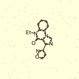 CCn1c(=O)c2c(-c3ccon3)ncn2c2ccccc21